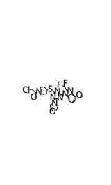 COc1cccc2c1nc(C(F)F)n2-c1nc(SC2CCN(C(=O)CCl)CC2)nc(N2CCOCC2)n1